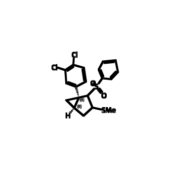 CSC1C[C@H]2C[C@@]2(c2ccc(Cl)c(Cl)c2)C1S(=O)(=O)c1ccccc1